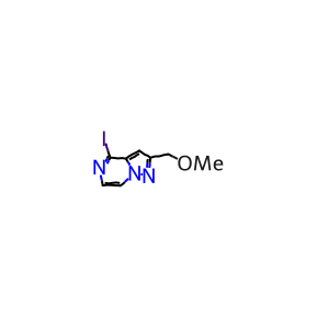 COCc1cc2c(I)nccn2n1